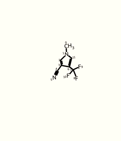 Cn1cc(C#N)c(C(F)(F)F)c1